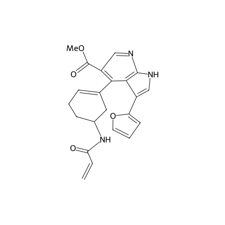 C=CC(=O)NC1CCC=C(c2c(C(=O)OC)cnc3[nH]cc(-c4ccco4)c23)C1